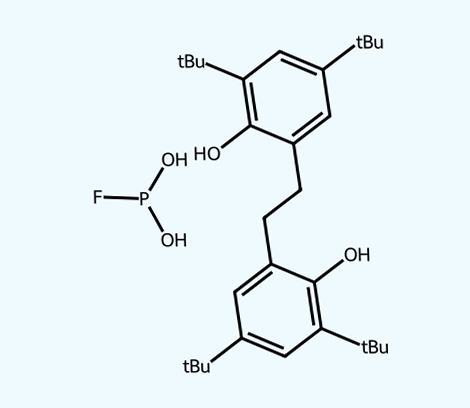 CC(C)(C)c1cc(CCc2cc(C(C)(C)C)cc(C(C)(C)C)c2O)c(O)c(C(C)(C)C)c1.OP(O)F